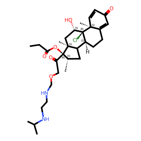 CCC(=O)O[C@]1(C(=O)COCNCCNC(C)C)[C@@H](C)CC2[C@@H]3CCC4=CC(=O)C=C[C@]4(C)[C@@]3(Cl)[C@@H](O)C[C@@]21C